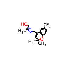 C[C@@H](CO)NCC1=CC(C)(C)Oc2ccc(C(F)(F)F)cc21